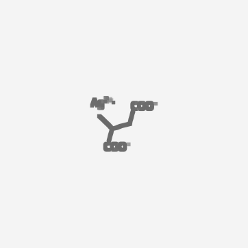 CC(CC(=O)[O-])C(=O)[O-].[Ag+2]